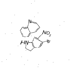 O=[N+]([O-])c1cc2c(cc1Br)CCN2.c1ccc2ncccc2c1